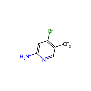 Nc1cc(Br)c(C(F)(F)F)cn1